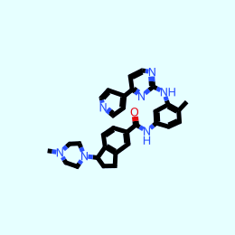 Cc1ccc(NC(=O)c2ccc3c(c2)CCC3N2CCN(C)CC2)cc1Nc1nccc(-c2ccncc2)n1